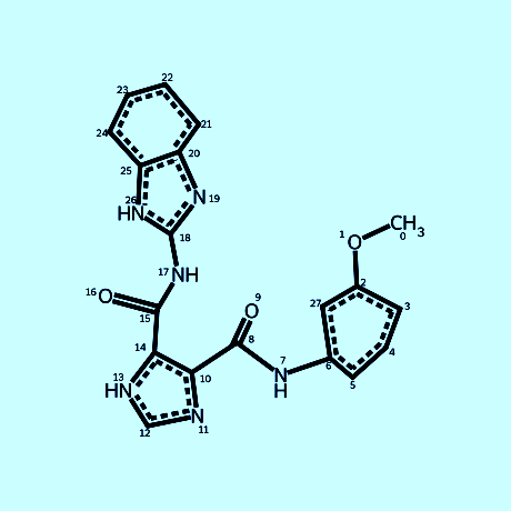 COc1cccc(NC(=O)c2nc[nH]c2C(=O)Nc2nc3ccccc3[nH]2)c1